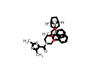 Cc1nc(C)c(C(=O)N2CCC(CCN3[C@@H]4CC[C@H]3C[C@@H](n3c(C)nc5ccccc53)C4)(c3ccccc3)CC2)s1